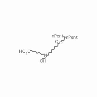 CCCCCC(CCCCC)CCOC(=O)CCCCCCCN(CCO)CCCCCCCC(=O)O